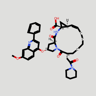 COc1ccc2c(O[C@@H]3C[C@H]4C(=O)N[C@]5(C(=O)O)C[C@H]5C=CCCCCC[C@H](CC(=O)N5CCCCC5)C(=O)N4C3)cc(-c3ccccc3)nc2c1